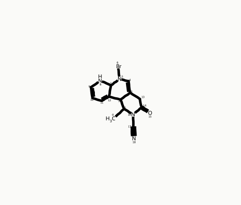 CC1C2C(=CN(Br)C3NC=CC=C23)CC(=O)N1C#N